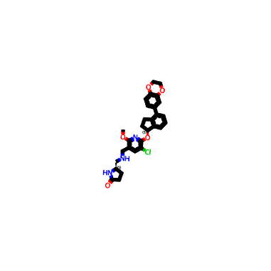 COc1nc(O[C@H]2CCc3c(-c4ccc5c(c4)OCCO5)cccc32)c(Cl)cc1CNC[C@@H]1CCC(=O)N1